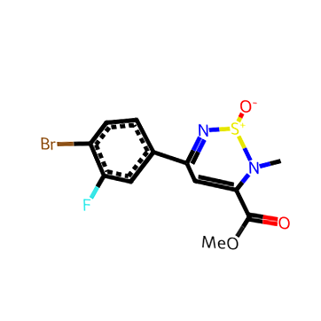 COC(=O)C1=CC(c2ccc(Br)c(F)c2)=N[S+]([O-])N1C